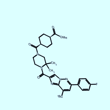 COC(=O)[C@H]1CC[C@@H](C(=O)N2CCN(C(=O)c3cn4nc(-c5ccc(F)cc5)cc(C(C)(C)C)c4n3)C(C)(C)C2)CC1